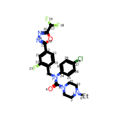 CCN1CCN(C(=O)N(Cc2ccc(-c3nnc(C(F)F)o3)cc2F)c2ccc(Cl)cc2)CC1